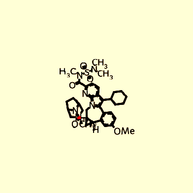 COc1ccc2c(c1)[C@@H]1C[C@]1(C(=O)N1C3CCC1CN(C)C3)Cn1c-2c(C2CCCCC2)c2ccc(C(=O)N(C)S(=O)(=O)N(C)C)nc21